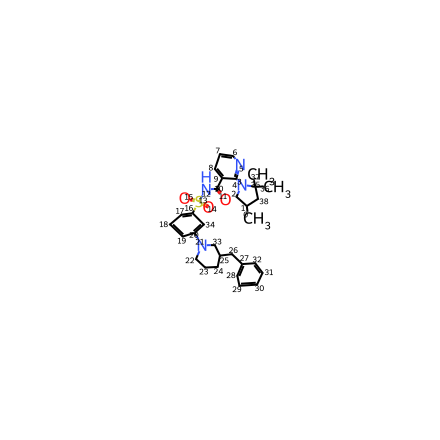 CC1CN(c2ncccc2C(=O)NS(=O)(=O)c2cccc(N3CCCC(Cc4ccccc4)C3)c2)C(C)(C)C1